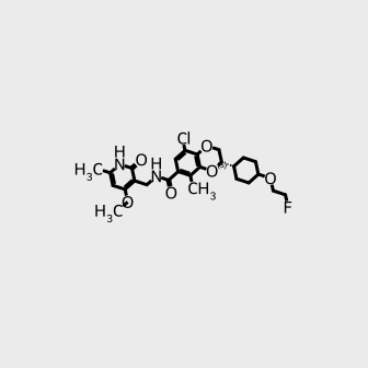 COc1cc(C)[nH]c(=O)c1CNC(=O)c1cc(Cl)c2c(c1C)O[C@@H](C1CCC(OCCF)CC1)CO2